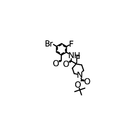 CC(C)(C)OC(=O)N1CCC(F)(C(=O)Nc2c(F)cc(Br)cc2C=O)CC1